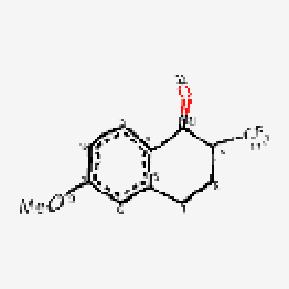 COc1ccc2c(c1)CCC(C(F)(F)F)C2=O